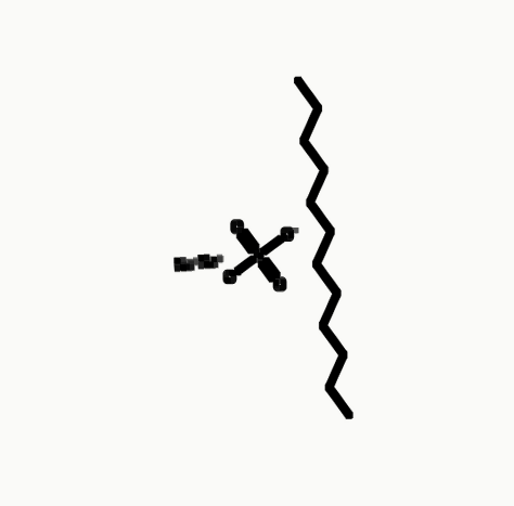 CCCCCCCCCCCC.O=S(=O)([O-])[O-].[Na+].[Na+]